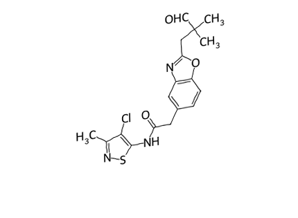 Cc1nsc(NC(=O)Cc2ccc3oc(CC(C)(C)C=O)nc3c2)c1Cl